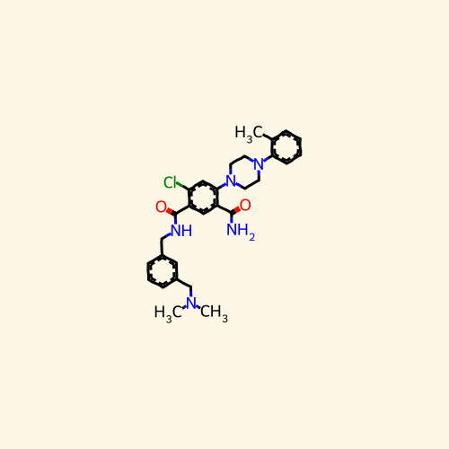 Cc1ccccc1N1CCN(c2cc(Cl)c(C(=O)NCc3cccc(CN(C)C)c3)cc2C(N)=O)CC1